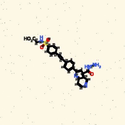 NNC(=O)c1cc(-c2ccc(C#Cc3ccc(S(=O)(=O)NCC(=O)O)cc3)cc2)nc2ccncc12